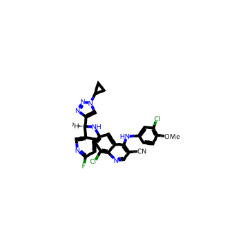 [2H][C@](Nc1cc(Cl)c2ncc(C#N)c(Nc3ccc(OC)c(Cl)c3)c2c1)(c1ccc(F)nc1)c1cn(C2CC2)nn1